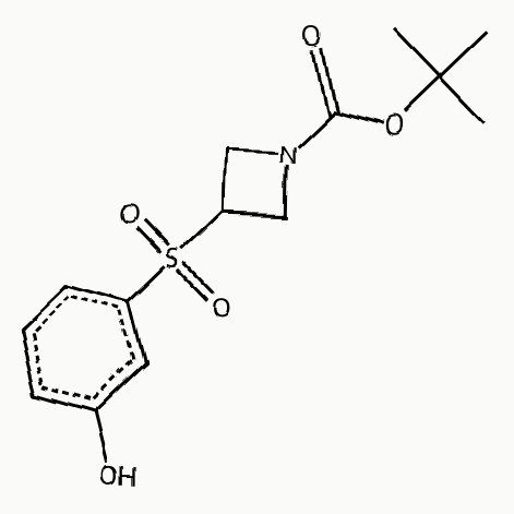 CC(C)(C)OC(=O)N1CC(S(=O)(=O)c2cccc(O)c2)C1